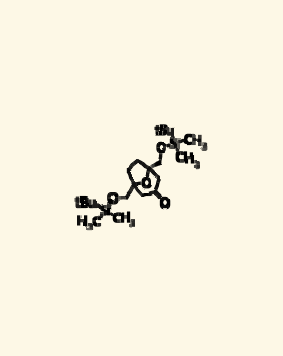 CC(C)(C)[Si](C)(C)OCC12CC[C@](CO[Si](C)(C)C(C)(C)C)(CC(=O)C1)O2